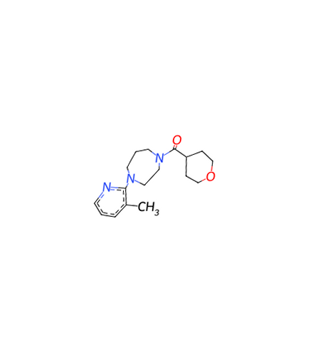 Cc1cccnc1N1CCCN(C(=O)C2CCOCC2)CC1